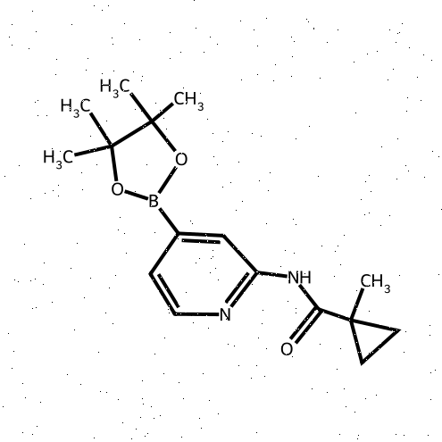 CC1(C(=O)Nc2cc(B3OC(C)(C)C(C)(C)O3)ccn2)CC1